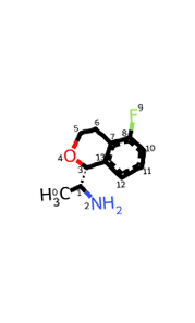 CC(N)[C@@H]1OCCc2c(F)cccc21